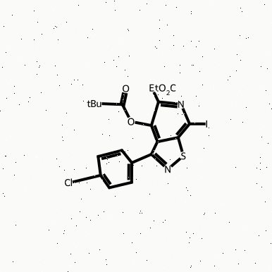 CCOC(=O)c1nc(I)c2snc(-c3ccc(Cl)cc3)c2c1OC(=O)C(C)(C)C